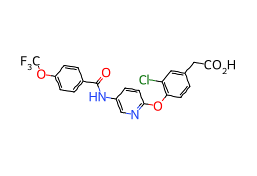 O=C(O)Cc1ccc(Oc2ccc(NC(=O)c3ccc(OC(F)(F)F)cc3)cn2)c(Cl)c1